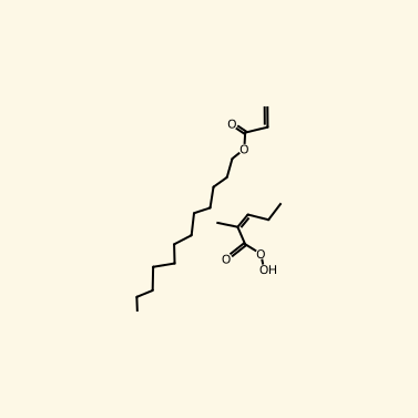 C=CC(=O)OCCCCCCCCCCCC.CCC=C(C)C(=O)OO